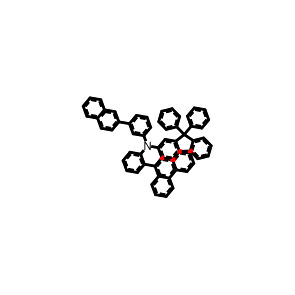 c1ccc(C2(c3ccccc3)c3ccccc3-c3ccc(N(c4cccc(-c5ccc6ccccc6c5)c4)c4ccccc4-c4cc5ccccc5c5ccccc45)cc32)cc1